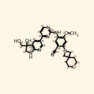 COc1cc(N2CC3(CCOCC3)C2)c(C#N)cc1Nc1nccc(-c2cnc3c(c2)C(C)(CO)CN3)n1